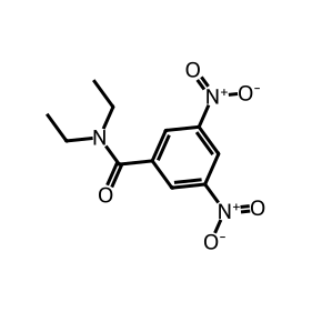 CCN(CC)C(=O)c1cc([N+](=O)[O-])cc([N+](=O)[O-])c1